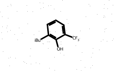 CCC(C)c1cccc(C(F)(F)F)c1O